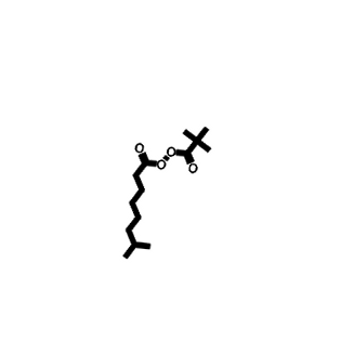 CC(C)CCCCCC(=O)OOC(=O)C(C)(C)C